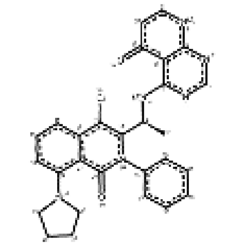 C[C@H](Nc1ncnc2[nH]ccc(=O)c12)c1c(Cl)c2cccc(N3CCCC3)c2c(=O)n1-c1ccccc1